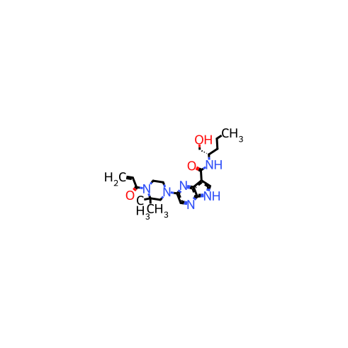 C=CC(=O)N1CCN(c2cnc3[nH]cc(C(=O)N[C@H](CO)CCC)c3n2)CC1(C)C